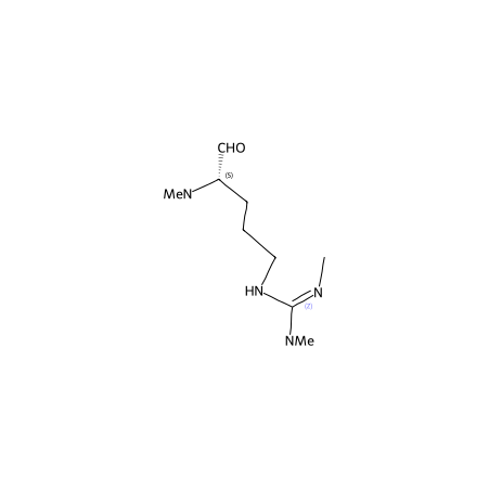 C/N=C(/NC)NCCC[C@@H](C=O)NC